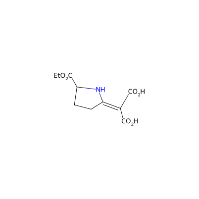 CCOC(=O)C1CCC(=C(C(=O)O)C(=O)O)N1